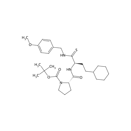 COc1ccc(CNC(=S)[C@@H](CCC2CCCCC2)NC(=O)[C@@H]2CCCN2C(=O)OC(C)(C)C)cc1